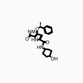 CNC(=O)c1[nH]c(C(=O)NC2CCC(O)CC2)cc1O[C@@H](C)c1ccccc1